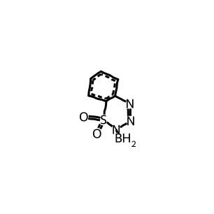 BN1N=Nc2ccccc2S1(=O)=O